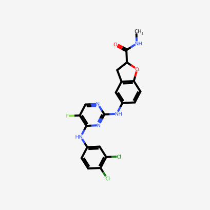 CNC(=O)C1Cc2cc(Nc3ncc(F)c(Nc4ccc(Cl)c(Cl)c4)n3)ccc2O1